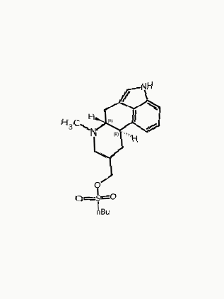 CCCCS(=O)(=O)OCC1C[C@@H]2c3cccc4[nH]cc(c34)C[C@H]2N(C)C1